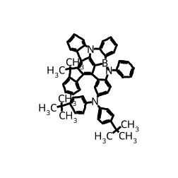 CC(C)(C)c1ccc(N(c2ccc(C(C)(C)C)cc2)c2ccc3c(c2)-c2c4c(c5c6ccccc6n6c5c2B(c2ccccc2-6)N3c2ccccc2)C(C)(C)c2ccccc2-4)cc1